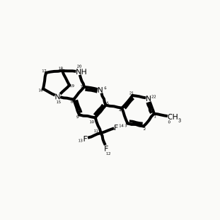 Cc1ccc(-c2nc3c(cc2C(F)(F)F)N2CCC(C2)N3)cn1